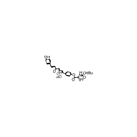 CC(C)[C@H](NC(=O)OC(C)(C)C)C(=O)Oc1ccc(C=CC(O)=CC(=O)C=Cc2ccc(O)cc2)cc1.Cl